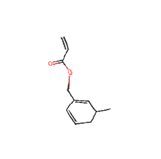 C=CC(=O)OCC1=CC(C)CC=C1